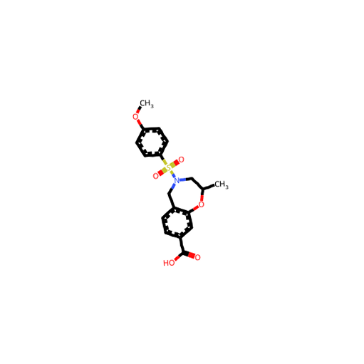 COc1ccc(S(=O)(=O)N2Cc3ccc(C(=O)O)cc3OC(C)C2)cc1